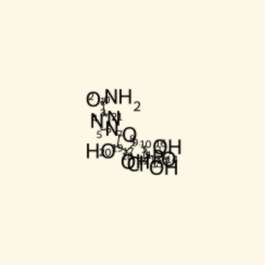 NC(=O)c1ncn(C2O[C@H](/C=C(\Cl)P(=O)(O)O)[C@@H](O)[C@H]2O)n1